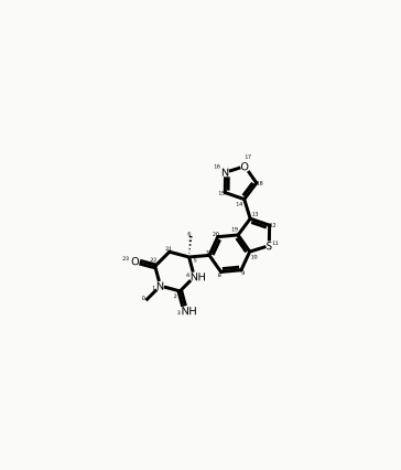 CN1C(=N)N[C@](C)(c2ccc3scc(-c4cnoc4)c3c2)CC1=O